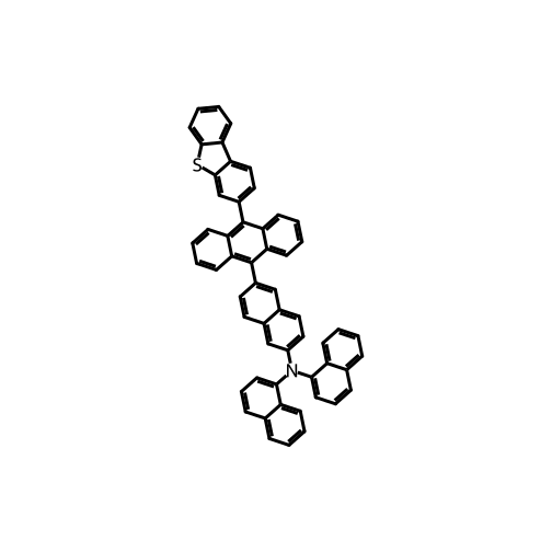 c1ccc2c(N(c3ccc4cc(-c5c6ccccc6c(-c6ccc7c(c6)sc6ccccc67)c6ccccc56)ccc4c3)c3cccc4ccccc34)cccc2c1